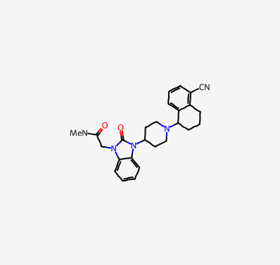 CNC(=O)Cn1c(=O)n(C2CCN(C3CCCc4c(C#N)cccc43)CC2)c2ccccc21